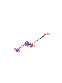 CC(C)(NC(=O)CC[C@H](NC(=O)CCCCCCCCCCCCCCCCC(=O)O)C(=O)O)C(=O)NCCOCCOCC(=O)ON1C(=O)CCC1=O